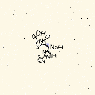 O=C(O)C1=CSC2/C(=C\c3c[nH]c(-c4nccs4)n3)C(=O)N12.[NaH]